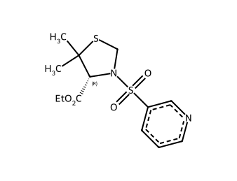 CCOC(=O)[C@H]1N(S(=O)(=O)c2cccnc2)CSC1(C)C